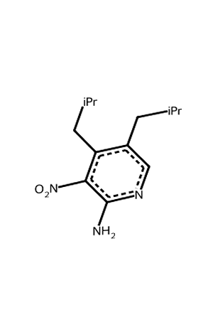 CC(C)Cc1cnc(N)c([N+](=O)[O-])c1CC(C)C